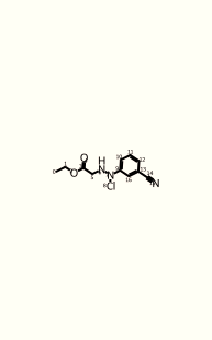 CCOC(=O)CNN(Cl)c1cccc(C#N)c1